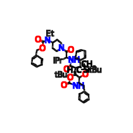 CCN(C(=O)OCc1ccccc1)C1CCN(C(=O)C(NC(=O)C(Cc2ccccc2)CC(O[Si](C)(C)C(C)(C)C)C(Cc2ccccc2)NC(=O)OC(C)(C)C)C(C)C)CC1